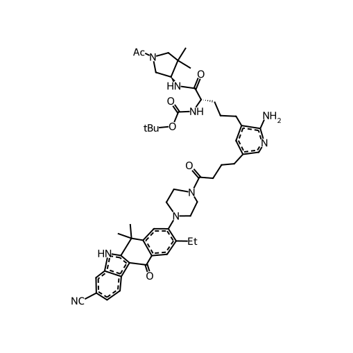 CCc1cc2c(cc1N1CCN(C(=O)CCCc3cnc(N)c(CCC[C@H](NC(=O)OC(C)(C)C)C(=O)N[C@H]4CN(C(C)=O)CC4(C)C)c3)CC1)C(C)(C)c1[nH]c3cc(C#N)ccc3c1C2=O